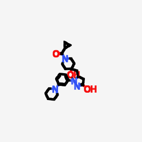 O=C(C1CC1)N1CCC(O)(CC2CC(O)=NN2c2cccc(N3CCCCC3)c2)CC1